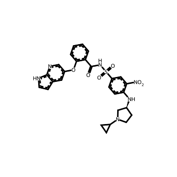 O=C(NS(=O)(=O)c1ccc(N[C@H]2CCN(C3CC3)C2)c([N+](=O)[O-])c1)c1ccccc1Oc1cnc2[nH]ccc2c1